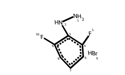 Br.NNc1c(F)cccc1F